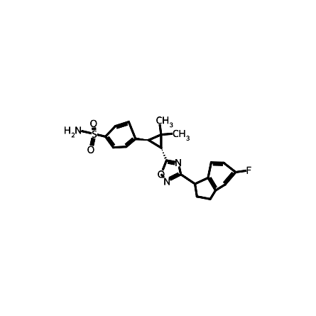 CC1(C)[C@H](c2ccc(S(N)(=O)=O)cc2)[C@H]1c1nc(C2CCc3cc(F)ccc32)no1